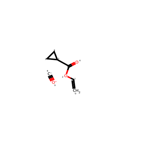 C=COC(=O)C1CC1.[C-]#[O+]